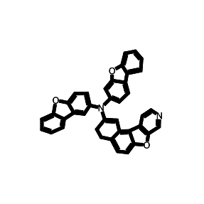 C1=C(N(c2ccc3c(c2)oc2ccccc23)c2ccc3oc4ccccc4c3c2)CCc2ccc3oc4cnccc4c3c21